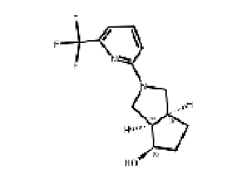 O[C@@H]1CC[C@@H]2CN(c3cccc(C(F)(F)F)n3)C[C@@H]21